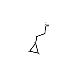 OC[CH]C1CC1